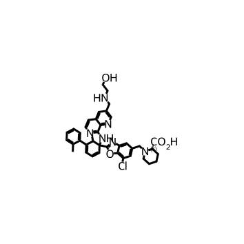 Cc1ccccc1C1=CC=CC(Nc2nccc3cc(CNCCO)cnc23)(c2nc3cc(CN4CCCC[C@H]4C(=O)O)cc(Cl)c3o2)C1C